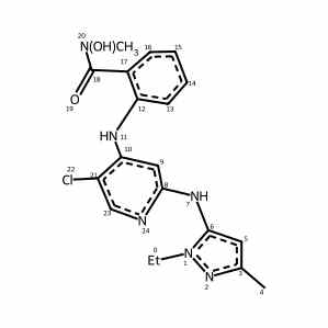 CCn1nc(C)cc1Nc1cc(Nc2ccccc2C(=O)N(C)O)c(Cl)cn1